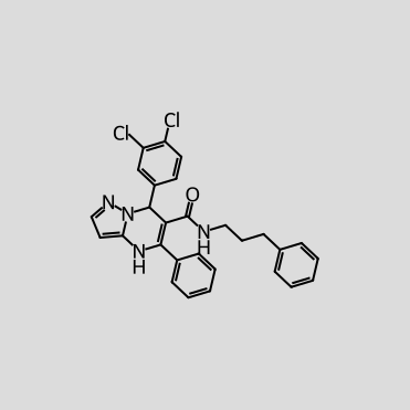 O=C(NCCCc1ccccc1)C1=C(c2ccccc2)Nc2ccnn2C1c1ccc(Cl)c(Cl)c1